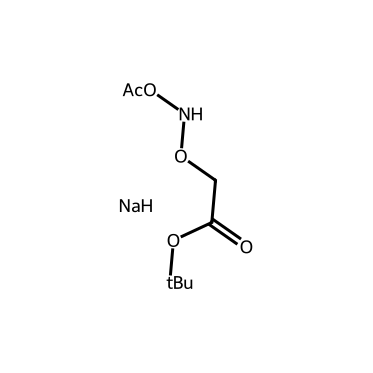 CC(=O)ONOCC(=O)OC(C)(C)C.[NaH]